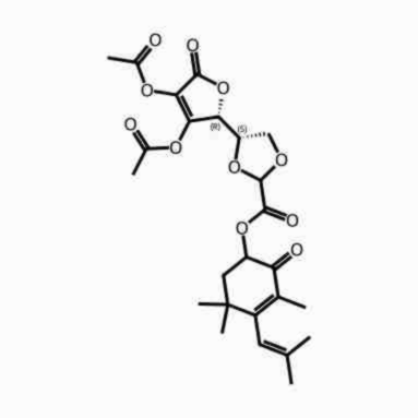 CC(=O)OC1=C(OC(C)=O)[C@@H]([C@@H]2COC(C(=O)OC3CC(C)(C)C(C=C(C)C)=C(C)C3=O)O2)OC1=O